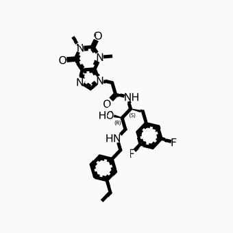 CCc1cccc(CNC[C@@H](O)[C@H](Cc2cc(F)cc(F)c2)NC(=O)Cn2cnc3c(=O)n(C)c(=O)n(C)c32)c1